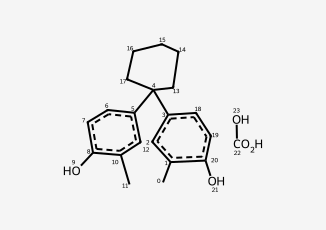 Cc1cc(C2(c3ccc(O)c(C)c3)CCCCC2)ccc1O.O=C(O)O